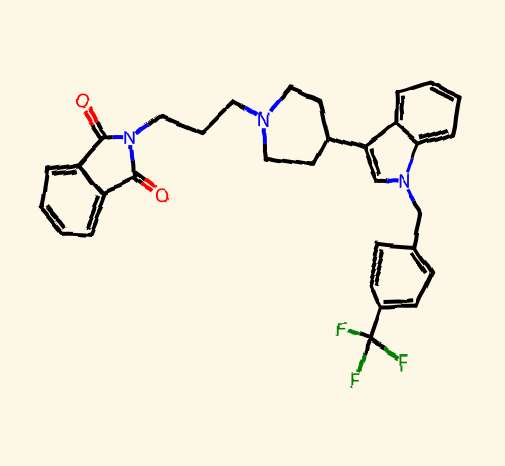 O=C1c2ccccc2C(=O)N1CCCN1CCC(c2cn(Cc3ccc(C(F)(F)F)cc3)c3ccccc23)CC1